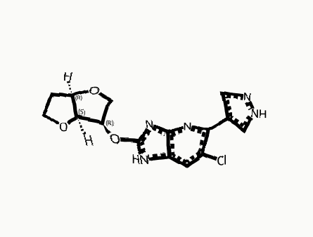 Clc1cc2[nH]c(O[C@@H]3CO[C@@H]4CCO[C@@H]43)nc2nc1-c1cn[nH]c1